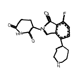 O=C1CCC(N2Cc3c(C4CCNCC4)ccc(F)c3C2=O)C(=O)N1